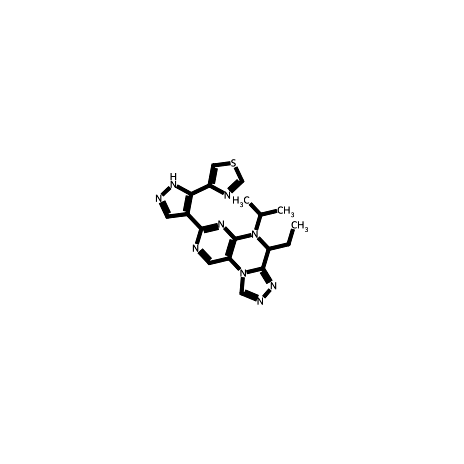 CCC1c2nncn2-c2cnc(-c3cn[nH]c3-c3cscn3)nc2N1C(C)C